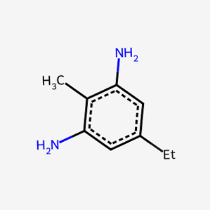 CCc1cc(N)c(C)c(N)c1